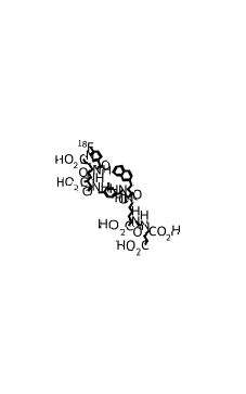 O=C(O)CCC(NC(=O)NC(CCCCNC(=O)C(Cc1ccc2ccccc2c1)NC(=O)c1ccc(CNC(=O)C(NC(=O)C(CCC(=O)O)NC(=O)c2ccc([18F])nc2)C(=O)O)cc1)C(=O)O)C(=O)O